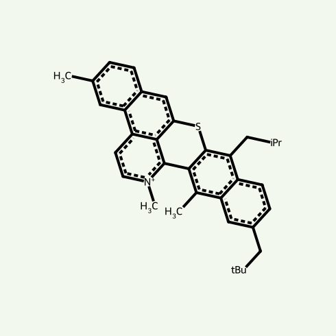 Cc1ccc2cc3c4c([n+](C)ccc4c2c1)-c1c(c(CC(C)C)c2ccc(CC(C)(C)C)cc2c1C)S3